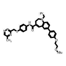 CCCCOCCOc1ccc(-c2ccc3c(c2)C=C(C(=O)Nc2ccc(SCc4nncc(C)n4)cc2)CCN3CC(C)C)cc1